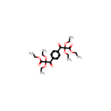 CCOC(=O)C(OCC)(OCC)C(=O)c1ccc(C(=O)C(OCC)(OCC)C(=O)OCC)cc1